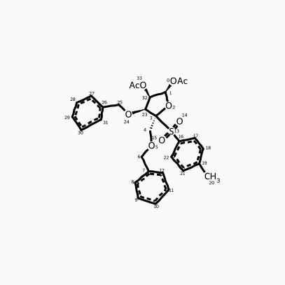 CC(=O)O[C@H]1O[C@@](COCc2ccccc2)(S(=O)(=O)c2ccc(C)cc2)[C@@H](OCc2ccccc2)[C@H]1OC(C)=O